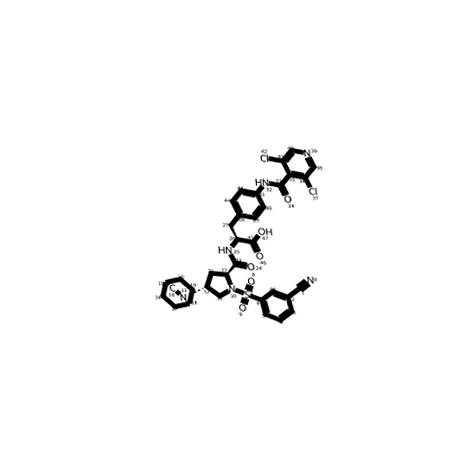 N#Cc1cccc(S(=O)(=O)N2C[C@H](N3CC4CCC3CC4)C[C@H]2C(=O)N[C@@H](Cc2ccc(NC(=O)c3c(Cl)cncc3Cl)cc2)C(=O)O)c1